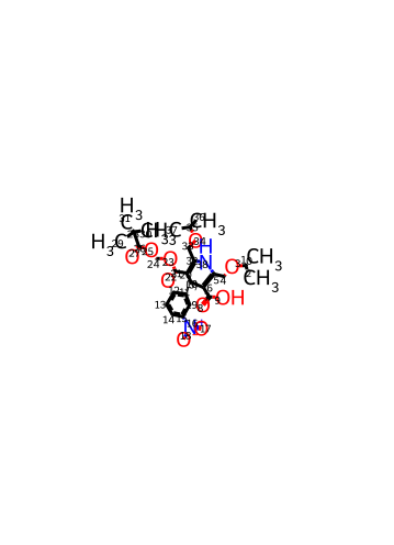 CC(C)OCC1=C(C(=O)O)[C@H](c2cccc([N+](=O)[O-])c2)C(C(=O)OCOC(=O)C(C)(C)C)=C(COC(C)C)N1